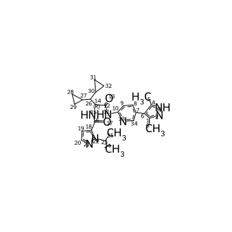 Cc1n[nH]c(C)c1-c1ccc(NC(=O)[C@H](NC(=O)c2ccnn2C(C)C)C(C2CC2)C2CC2)nc1